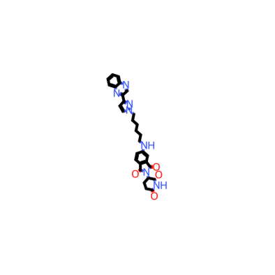 O=C1CCC(N2C(=O)c3ccc(NCCCCCCn4ccc(-c5cnc6ccccc6n5)n4)cc3C2=O)C(=O)N1